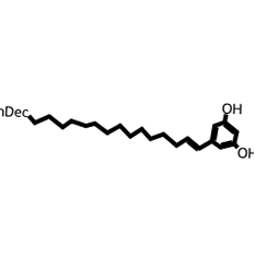 CCCCCCCCCCCCCCCCCCCCCCCC=Cc1cc(O)cc(O)c1